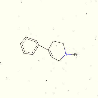 CCN1CC=C(c2ccccc2)CC1